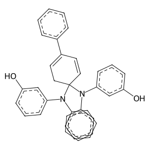 Oc1cccc(N(c2ccccc2)C2(N(c3ccccc3)c3cccc(O)c3)C=CC(c3ccccc3)=CC2)c1